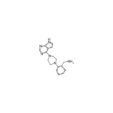 NCc1ccccc1N1CCN(c2ncnc3[nH]ccc23)CC1